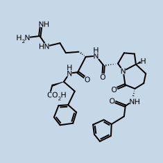 N=C(N)NCCC[C@H](NC(=O)[C@@H]1CC[C@@H]2CC[C@H](NC(=O)Cc3ccccc3)C(=O)N21)C(=O)N[C@H](CC(=O)O)Cc1ccccc1